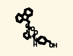 O=C(Nc1ccc(CO)cc1)[C@@H]1CCCN1C(=O)OCC1c2ccccc2-c2ccccc21